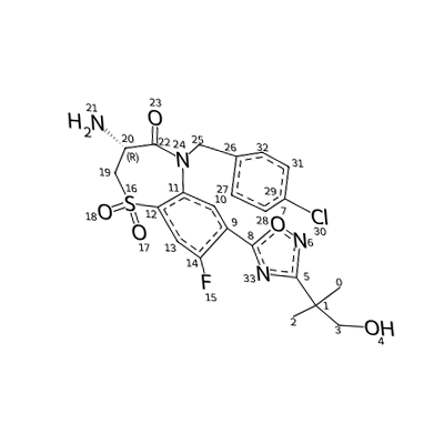 CC(C)(CO)c1noc(-c2cc3c(cc2F)S(=O)(=O)C[C@H](N)C(=O)N3Cc2ccc(Cl)cc2)n1